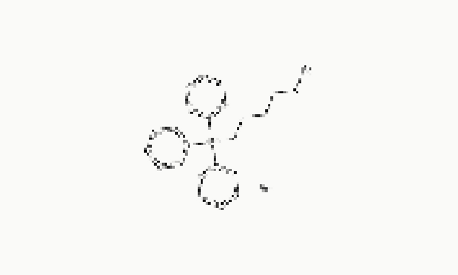 CC(=O)SCCCC[P+](c1ccccc1)(c1ccccc1)c1ccccc1.[Br-]